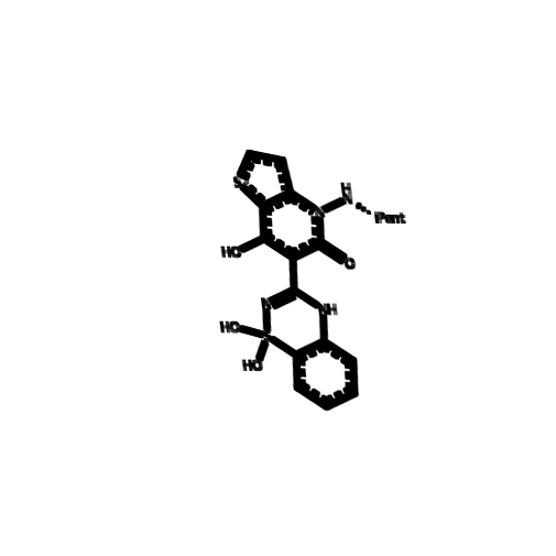 CCC[C@@H](C)Nn1c(=O)c(C2=NS(O)(O)c3ccccc3N2)c(O)c2sccc21